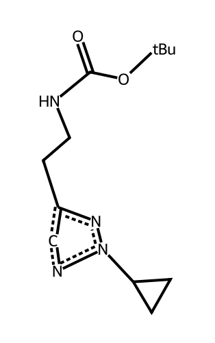 CC(C)(C)OC(=O)NCCc1cnn(C2CC2)n1